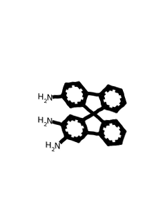 Nc1ccc2c(c1)C1(c3ccccc3-2)c2ccccc2-c2cc(N)c(N)cc21